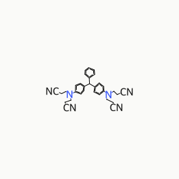 N#CCCN(CCC#N)c1ccc(C(c2ccccc2)c2ccc(N(CCC#N)CCC#N)cc2)cc1